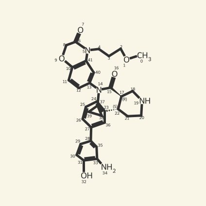 COCCCN1C(=O)COc2ccc(N(C(=O)[C@H]3CNCC[C@@H]3c3cccc(-c4ccc(O)c(N)c4)c3)C3CC3)cc21